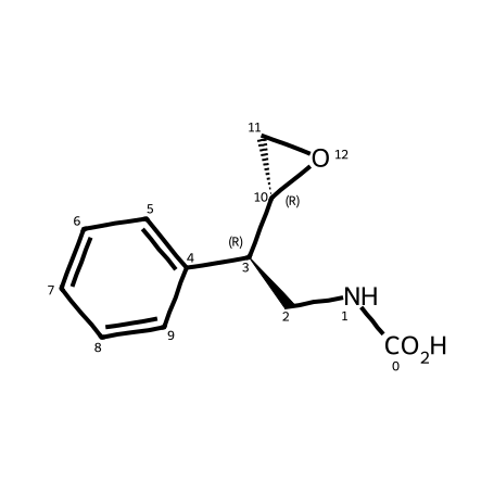 O=C(O)NC[C@@H](c1ccccc1)[C@@H]1CO1